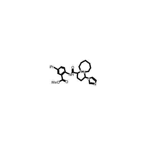 COC(=O)c1cc(C(C)C)ccc1NC(=O)C1CCC(n2ccnc2)N2CCCCCCN12